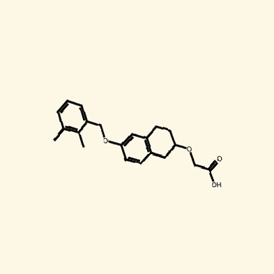 Cc1cccc(COc2ccc3c(c2)CCC(OCC(=O)O)C3)c1C